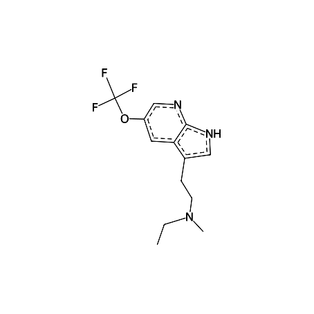 CCN(C)CCc1c[nH]c2ncc(OC(F)(F)F)cc12